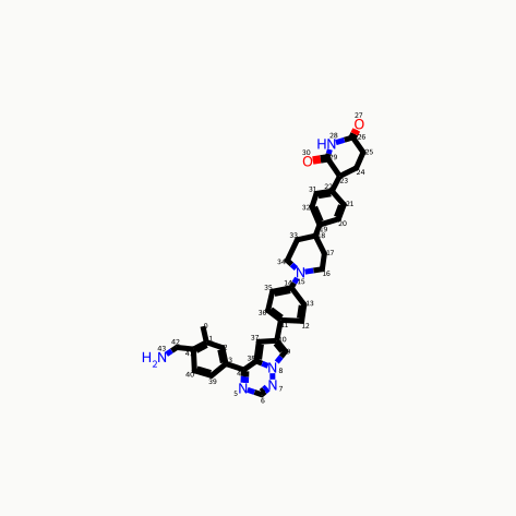 Cc1cc(-c2ncnn3cc(-c4ccc(N5CCC(c6ccc(C7CCC(=O)NC7=O)cc6)CC5)cc4)cc23)ccc1CN